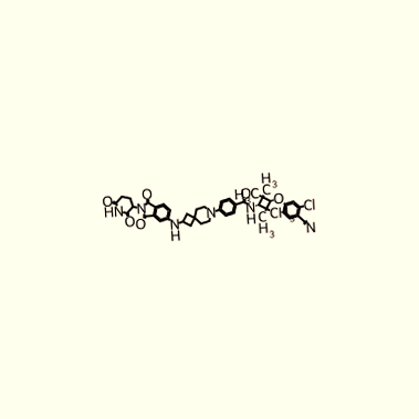 CC1(C)[C@H](NC(=O)c2ccc(N3CCC4(CC3)CC(Nc3ccc5c(c3)C(=O)N(C3CCC(=O)NC3=O)C5=O)C4)cc2)C(C)(C)[C@H]1Oc1ccc(C#N)c(Cl)c1